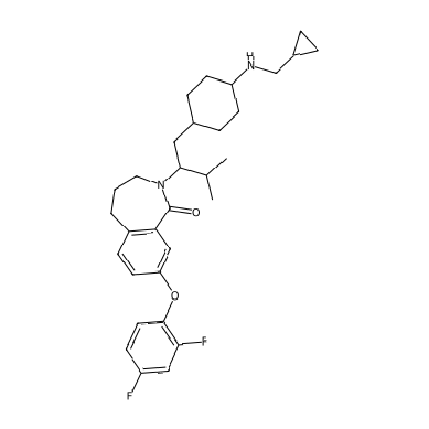 CC(C)C(CC1CCC(NCC2CC2)CC1)N1CCCc2ccc(Oc3ccc(F)cc3F)cc2C1=O